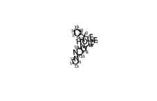 CC(C)(CC(O)(Cc1cc2cc(N3CCCC3)ncc2[nH]1)C(F)(F)F)c1ccccc1